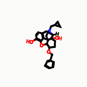 Oc1ccc2c3c1OC1C(OCc4ccccc4)CC[C@@]4(O)[C@@H](C2)N(CC2CC2)CC[C@]314